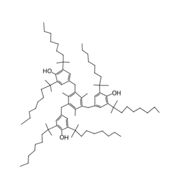 CCCCCCCC(C)(C)c1cc(Cc2c(C)c(Cc3cc(C(C)(C)CCCCCCC)c(O)c(C(C)(C)CCCCCCC)c3)c(C)c(Cc3cc(C(C)(C)CCCCCCC)c(O)c(C(C)(C)CCCCCCC)c3)c2C)cc(C(C)(C)CCCCCCC)c1O